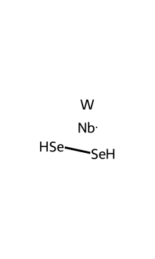 [Nb].[SeH][SeH].[W]